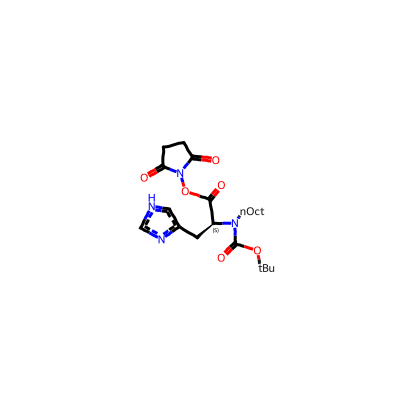 CCCCCCCCN(C(=O)OC(C)(C)C)[C@@H](Cc1c[nH]cn1)C(=O)ON1C(=O)CCC1=O